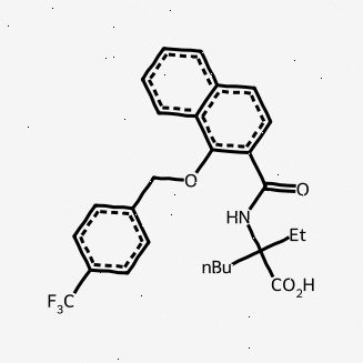 CCCCC(CC)(NC(=O)c1ccc2ccccc2c1OCc1ccc(C(F)(F)F)cc1)C(=O)O